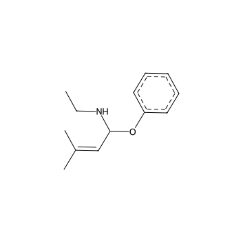 CCNC(C=C(C)C)Oc1ccccc1